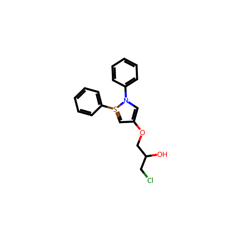 OC(CCl)COC1=CN(c2ccccc2)S(c2ccccc2)=C1